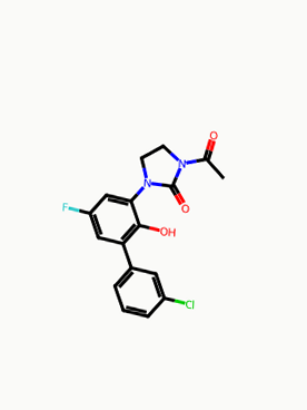 CC(=O)N1CCN(c2cc(F)cc(-c3cccc(Cl)c3)c2O)C1=O